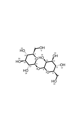 OC[C@H]1O[C@@H](OC2O[C@H](CO)[C@@H](O)[C@H](O)[C@@H]2O)[C@H](O)[C@@H](O)[C@@H]1O